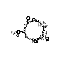 CC[C@H](C)[C@H]1CN[C@@H](CC(C)C)C(C)NCC2[C@@H](C(=O)N3CCC(C)(C)C3)CN2[C@@H](C(C)C)C(C)NC2(CCCC2)CNCCNC=CC(CCc2ccc(C(F)(F)F)c(Cl)c2)=NC=CN(C)C=C(CC2CCCCC2)N(C)C=C2CCCN2[C@@H](C)C(C)N1